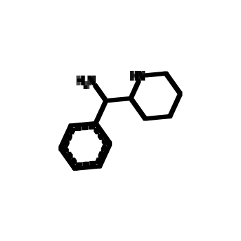 NC(c1ccccc1)C1CCCCN1